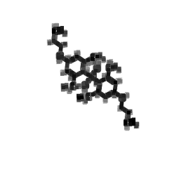 C=CCOc1cc(C)c(S(=O)(=O)c2c(C)cc(OCC=C)cc2C)c(C)c1